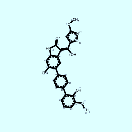 COc1cc(C(O)=C2C(=O)Nc3cc(Cl)c(-c4ccc(-c5cccc(OC)c5O)cc4)cc32)on1